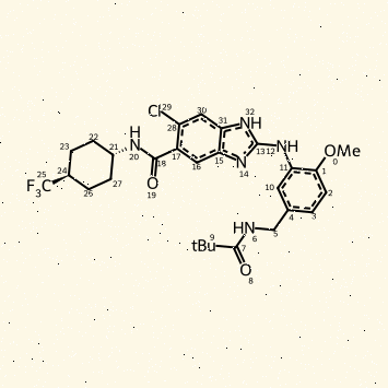 COc1ccc(CNC(=O)C(C)(C)C)cc1Nc1nc2cc(C(=O)N[C@H]3CC[C@H](C(F)(F)F)CC3)c(Cl)cc2[nH]1